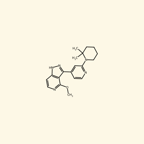 COc1nccc2[nH]nc(-c3ccnc(N4CCCCC4(C)C)c3)c12